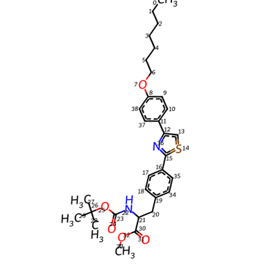 CCCCCCCOc1ccc(-c2csc(-c3ccc(CC(NC(=O)OC(C)(C)C)C(=O)OC)cc3)n2)cc1